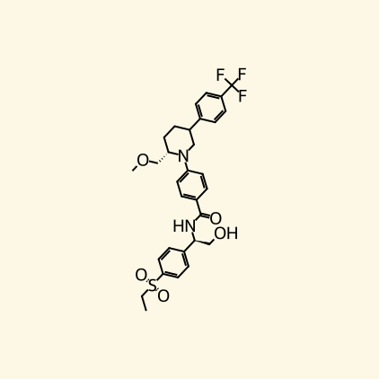 CCS(=O)(=O)c1ccc([C@H](CO)NC(=O)c2ccc(N3CC(c4ccc(C(F)(F)F)cc4)CC[C@H]3COC)cc2)cc1